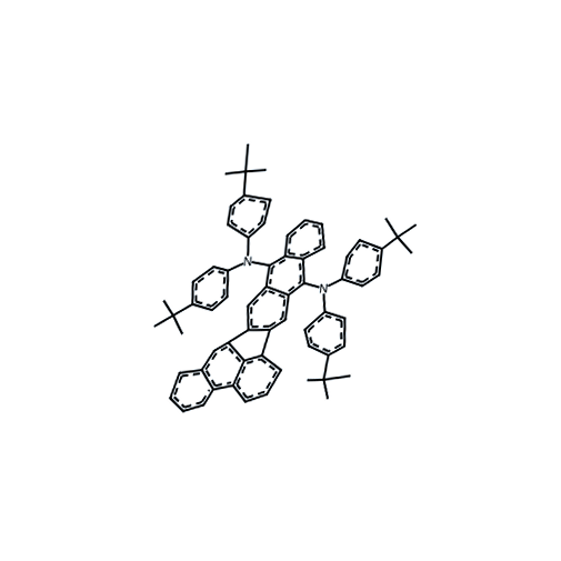 CC(C)(C)c1ccc(N(c2ccc(C(C)(C)C)cc2)c2c3ccccc3c(N(c3ccc(C(C)(C)C)cc3)c3ccc(C(C)(C)C)cc3)c3cc4c(cc23)-c2cccc3c2c-4cc2ccccc23)cc1